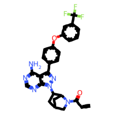 C=CC(=O)N1CC2CC1C(n1nc(-c3ccc(Oc4cccc(C(F)(F)F)c4)cc3)c3c(N)ncnc31)C2